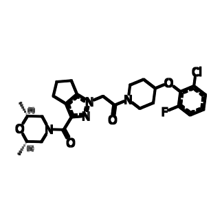 C[C@@H]1CN(C(=O)c2nn(CC(=O)N3CCC(Oc4c(F)cccc4Cl)CC3)c3c2CCC3)C[C@H](C)O1